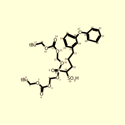 CC(C)(C)COC(=O)OCOP(=O)(OCOC(=O)OCC(C)(C)C)C(CCCc1cccc(Oc2ccccc2)c1)S(=O)(=O)O